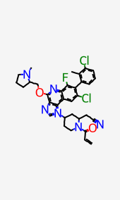 C=CC(=O)N1CCC(n2cnc3c(OCC4CCCN4C)nc4c(F)c(-c5cccc(Cl)c5C)c(Cl)cc4c32)CC1CC#N